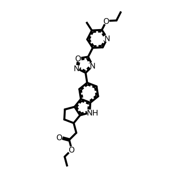 CCOC(=O)CC1CCc2c1[nH]c1ccc(-c3noc(-c4cnc(OCC)c(C)c4)n3)cc21